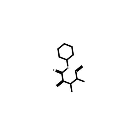 C=CC(C)C(C)C(=C)C(=O)OC1CCCCC1